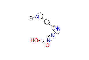 CC(C)N1CCC[C@H](c2ccc(-c3cc4c(N5CCN(C(=O)[C@H]6C[C@H](O)C6)CC5)ccnn4c3)cc2)C1